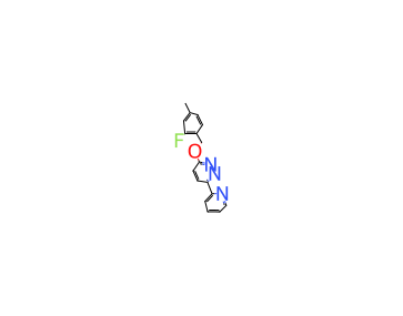 Cc1ccc(COc2ccc(-c3ccccn3)nn2)c(F)c1